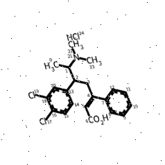 CC(C(CC(=CC(=O)O)c1ccccc1)c1ccc(Cl)c(Cl)c1)N(C)C.Cl